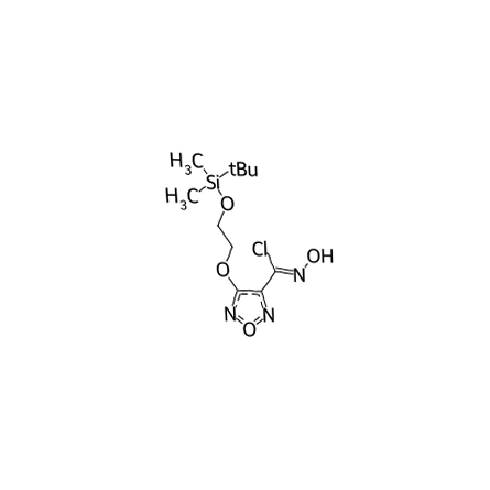 CC(C)(C)[Si](C)(C)OCCOc1nonc1C(Cl)=NO